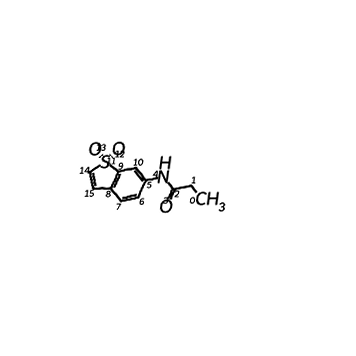 CCC(=O)Nc1ccc2c(c1)S(=O)(=O)C=C2